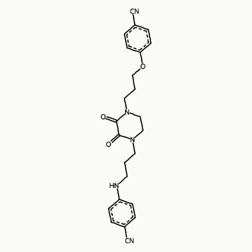 N#Cc1ccc(NCCCN2CCN(CCCOc3ccc(C#N)cc3)C(=O)C2=O)cc1